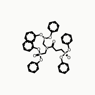 O=C(CCP(=O)(Oc1ccccc1)Oc1ccccc1)N(CP(Oc1ccccc1)Oc1ccccc1)CP(=O)(Oc1ccccc1)Oc1ccccc1